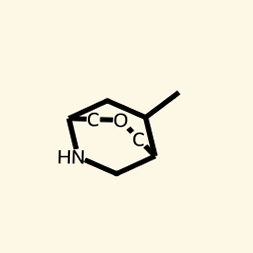 CC1CC2COCC1CN2